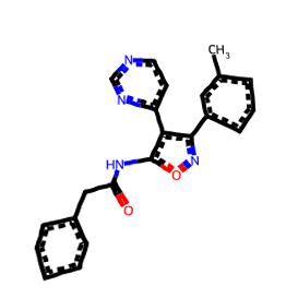 Cc1cccc(-c2noc(NC(=O)Cc3ccccc3)c2-c2ccncn2)c1